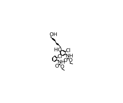 CCOC(=O)Nc1ccccc1Cl.CCOC(=O)Nc1ccccc1Cl.OCC#CC#CCO